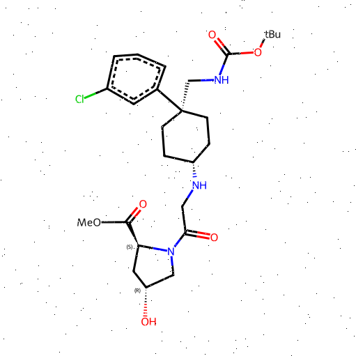 COC(=O)[C@@H]1C[C@@H](O)CN1C(=O)CN[C@H]1CC[C@](CNC(=O)OC(C)(C)C)(c2cccc(Cl)c2)CC1